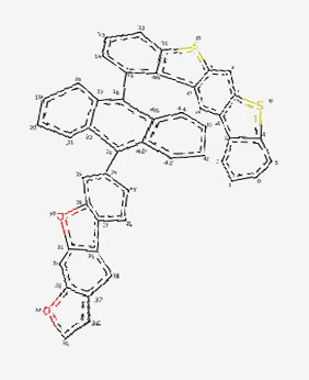 c1ccc2c(c1)sc1cc3sc4cccc(-c5c6ccccc6c(-c6ccc7c(c6)oc6cc8occc8cc67)c6ccccc56)c4c3cc12